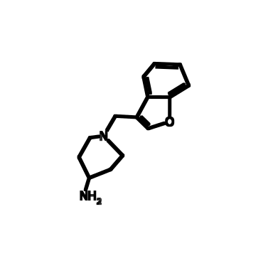 NC1CCN(Cc2coc3ccccc23)CC1